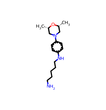 C[C@@H]1CN(c2ccc(NCCCCCN)cc2)C[C@H](C)O1